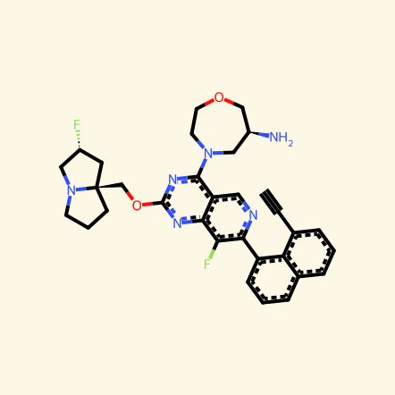 C#Cc1cccc2cccc(-c3ncc4c(N5CCOC[C@@H](N)C5)nc(OC[C@@]56CCCN5C[C@H](F)C6)nc4c3F)c12